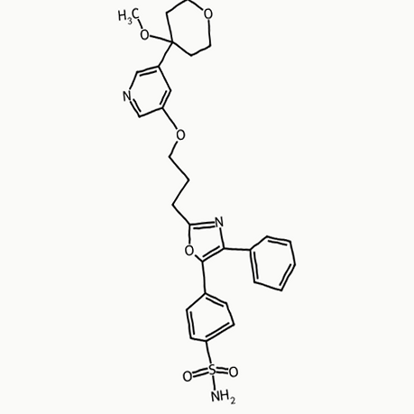 COC1(c2cncc(OCCCc3nc(-c4ccccc4)c(-c4ccc(S(N)(=O)=O)cc4)o3)c2)CCOCC1